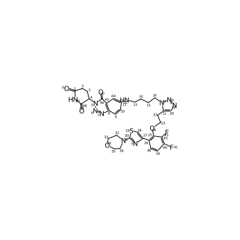 O=C1CCC(n2nnc3ccc(NCCCCn4nncc4CCOc4c(-c5csc(N6CCOCC6)n5)ccc(F)c4F)cc3c2=O)C(=O)N1